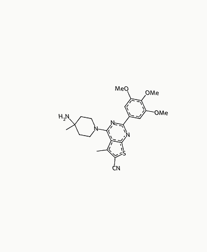 COc1cc(-c2nc(N3CCC(C)(N)CC3)c3c(C)c(C#N)sc3n2)cc(OC)c1OC